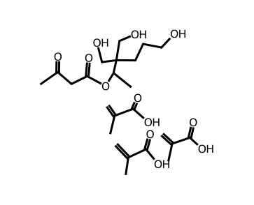 C=C(C)C(=O)O.C=C(C)C(=O)O.C=C(C)C(=O)O.CC(=O)CC(=O)OC(C)C(CO)(CO)CCCO